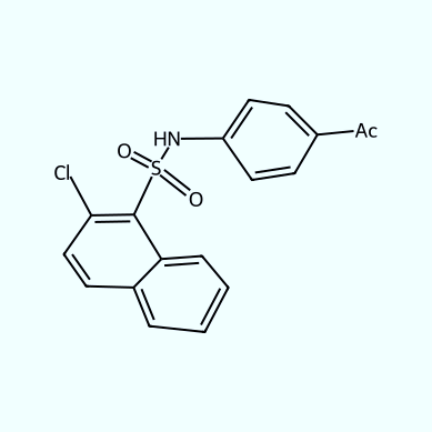 CC(=O)c1ccc(NS(=O)(=O)c2c(Cl)ccc3ccccc23)cc1